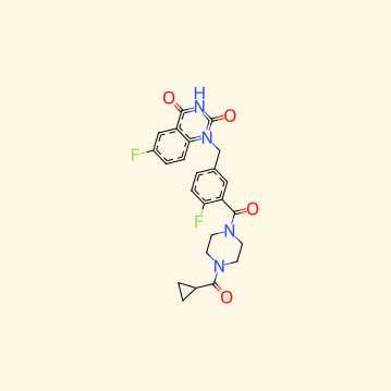 O=C(c1cc(Cn2c(=O)[nH]c(=O)c3cc(F)ccc32)ccc1F)N1CCN(C(=O)C2CC2)CC1